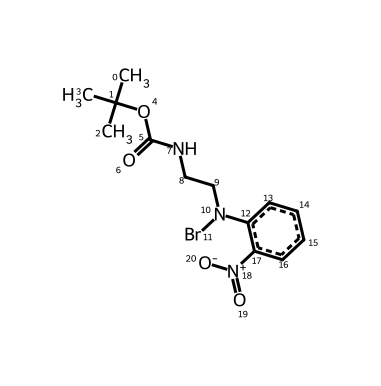 CC(C)(C)OC(=O)NCCN(Br)c1ccccc1[N+](=O)[O-]